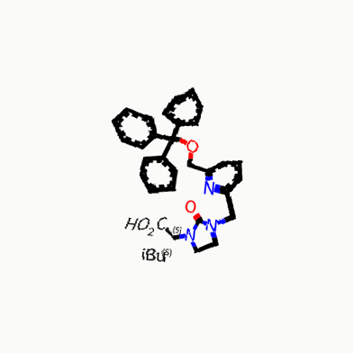 CC[C@H](C)[C@@H](C(=O)O)N1CCN(Cc2cccc(COC(c3ccccc3)(c3ccccc3)c3ccccc3)n2)C1=O